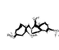 COc1ccc(Cn2ccc3cc([N+](=O)[O-])ccc3c2=N)c(OC)c1